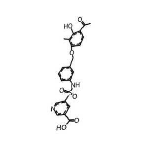 CC(=O)c1ccc(OCc2cccc(NS(=O)(=O)c3cncc(C(=O)O)c3)c2)c(C)c1O